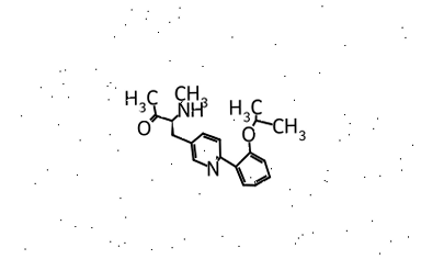 CN[C@@H](Cc1ccc(-c2ccccc2OC(C)C)nc1)C(C)=O